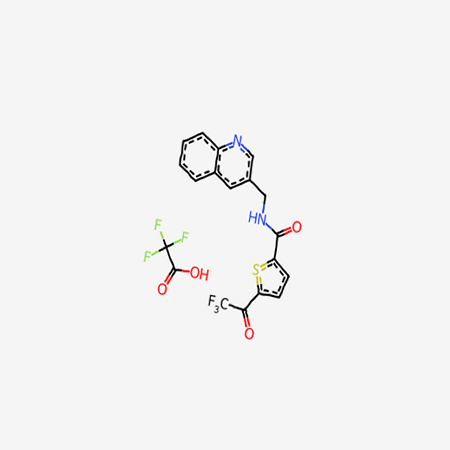 O=C(NCc1cnc2ccccc2c1)c1ccc(C(=O)C(F)(F)F)s1.O=C(O)C(F)(F)F